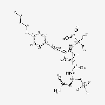 CCCCCc1ccc(C#Cc2ccc(C(=O)N[C@H](CC(=O)O)C[N+](C)(C)C)o2)cc1.O=C([O-])C(F)(F)F